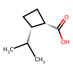 CC(C)[C@@H]1CC[C@@H]1C(=O)O